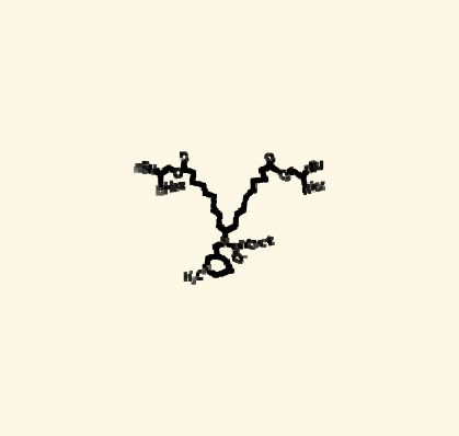 CCCCCCCC[S+]([O-])N(CC1CCCN(C)C1)C(CCCCCCCCC(=O)OCC(CCCC)CCCCCC)CCCCCCCCC(=O)OCC(CCCC)CCCCCC